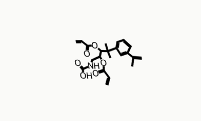 C=CC(=O)OC(CNC(=O)O)C(OC(=O)C=C)C(C)(C)c1cccc(C(=C)C)c1